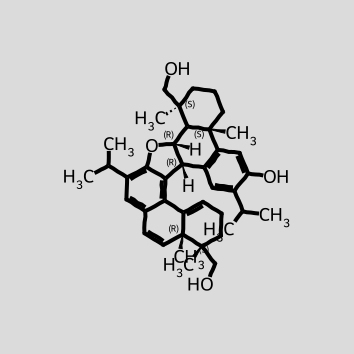 CC(C)c1cc2c(cc1O)[C@@]1(C)CCC[C@](C)(CO)C1[C@H]1Oc3c(C(C)C)cc4c(c3[C@@H]21)C1=CCC[C@](C)(CO)[C@]1(C)C=C4